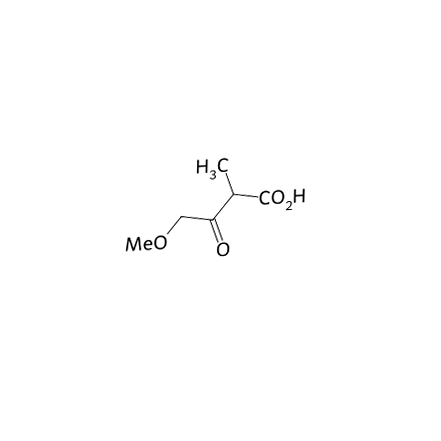 COCC(=O)C(C)C(=O)O